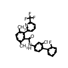 Cc1ccc(C)c(-c2cccc(C(F)(F)F)n2)c1C(=O)Nc1ccc(-c2ccccc2F)c(Cl)c1